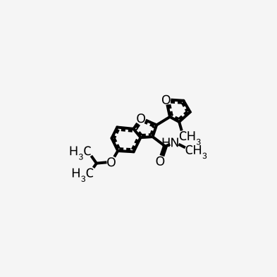 CNC(=O)c1c(-c2occc2C)oc2ccc(OC(C)C)cc12